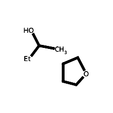 C1CCOC1.CCC(C)O